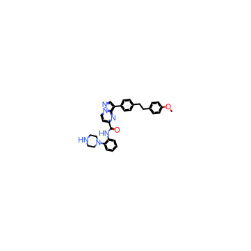 COc1ccc(CCc2ccc(-c3cnn4ccc(C(=O)Nc5ccccc5N5CCNCC5)nc34)cc2)cc1